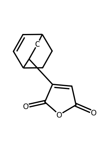 O=C1C=C(C2CC3C=CC2CC3)C(=O)O1